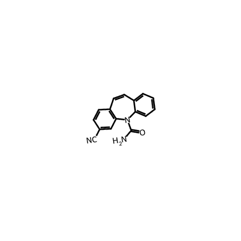 N#Cc1ccc2c(c1)N(C(N)=O)c1ccccc1C=C2